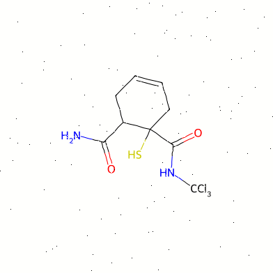 NC(=O)C1CC=CCC1(S)C(=O)NC(Cl)(Cl)Cl